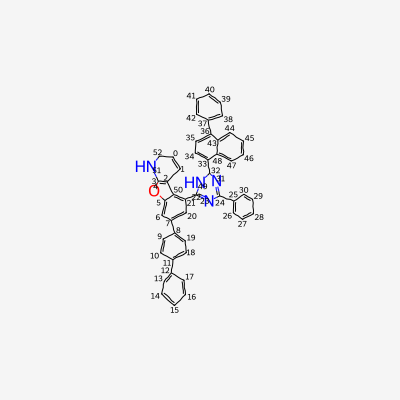 C1=Cc2c(oc3cc(-c4ccc(-c5ccccc5)cc4)cc(C4=NC(c5ccccc5)=NC(c5ccc(-c6ccccc6)c6ccccc56)N4)c23)NC1